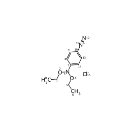 CCON(OCC)c1ccc([N+]#N)cc1.[Cl-]